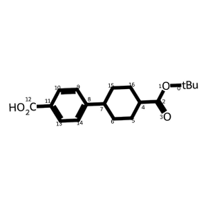 CC(C)(C)OC(=O)C1CCC(c2ccc(C(=O)O)cc2)CC1